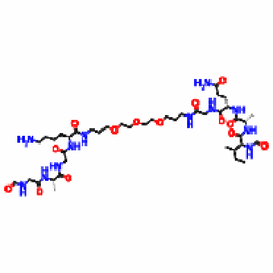 CCC(C)C(NC=O)C(=O)N[C@@H](C)C(=O)N[C@@H](CCC(N)=O)C(=O)NCC(=O)NCCCOCCOCCOCCCNC(=O)[C@H](CCCCN)NC(=O)CNC(=O)[C@H](C)NC(=O)CNC=O